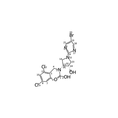 O=C(O)N(Cc1ccc(Cl)cc1Cl)[C@@H]1CN(c2ncc(Br)cn2)C[C@@H]1O